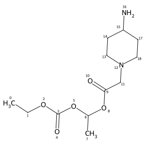 CCOC(=O)OC(C)OC(=O)CN1CCC(N)CC1